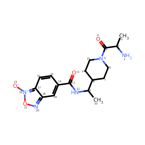 CC(N)C(=O)N1CCC(C(C)NC(=O)c2ccc3c(c2)no[n+]3[O-])CC1